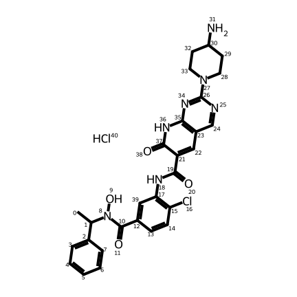 CC(c1ccccc1)N(O)C(=O)c1ccc(Cl)c(NC(=O)c2cc3cnc(N4CCC(N)CC4)nc3[nH]c2=O)c1.Cl